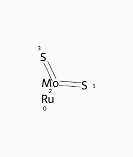 [Ru].[S]=[Mo]=[S]